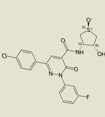 O=C(N[C@@H]1C[S@@+]([O-])C[C@@H]1O)c1cc(-c2ccc(Cl)cc2)nn(-c2cccc(F)c2)c1=O